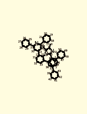 Cc1nc(-c2ccccc2)n(-c2c(-c3cc(-c4ccccc4)nc(-c4ccccc4)c3)cccc2-c2cc(-c3ccccc3)nc(-c3ccccc3)c2)c1C